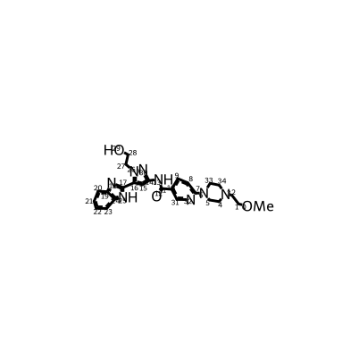 COCCN1CCN(c2ccc(C(=O)Nc3cc(-c4nc5ccccc5[nH]4)n(CCO)n3)cn2)CC1